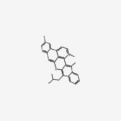 Cc1c2c(c(CC(C)C)c3ccccc13)Oc1cc3ccc(F)cc3c3cc[n+](C)c-2c13